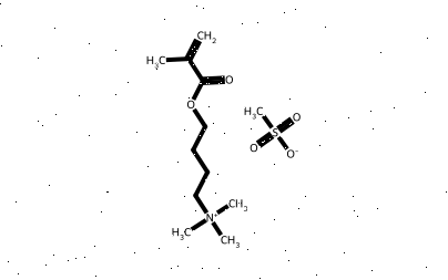 C=C(C)C(=O)OCCCC[N+](C)(C)C.CS(=O)(=O)[O-]